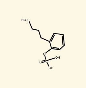 O=C(O)CCCc1ccccc1OP(=O)(O)O